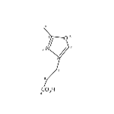 Cc1nc(CCC(=O)O)co1